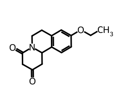 CCOc1ccc2c(c1)CCN1C(=O)CC(=O)CC21